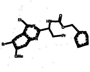 CCc1nc(C(CC(C)C)NC(=O)OCc2ccccc2)nc2cc(OC)c(Br)cc12